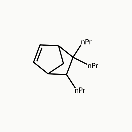 CCCC1C2C=CC(C2)C1(CCC)CCC